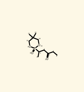 CCC(=O)CC(C)P1(=O)OCC(C)(C)CO1